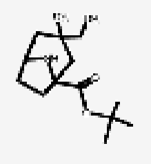 CC(C)(C)OC(=O)C12CCC(CC(O)(CO)C1)N2